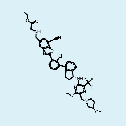 CCOC(=O)CNCc1cc(C#N)c2oc(-c3cccc(-c4cccc5c4CC[C@H]5Nc4nc(OC)c(CN5CC[C@@H](O)C5)nc4C(F)(F)F)c3Cl)nc2c1